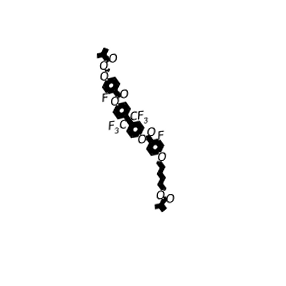 C=C(C)C(=O)OCCCCCCOc1ccc(C(=O)Oc2ccc(C(c3ccc(OC(=O)c4ccc(OCOC(=O)C(=C)C)cc4F)cc3)(C(F)(F)F)C(F)(F)F)cc2)c(F)c1